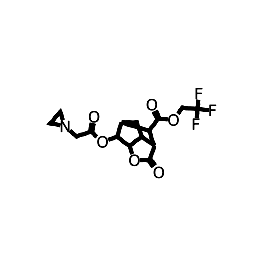 O=C(CN1CC1)OC1C2CC3C1OC(=O)C3C2C(=O)OCC(F)(F)F